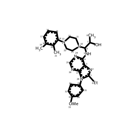 CCc1nc2c(NC(C(C)O)N3CCN(c4cccc(C)c4C)CC3)ncnc2n1-c1ccc(OC)cc1